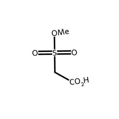 COS(=O)(=O)CC(=O)O